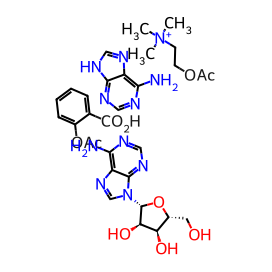 CC(=O)OCC[N+](C)(C)C.CC(=O)Oc1ccccc1C(=O)O.Nc1ncnc2[nH]cnc12.Nc1ncnc2c1ncn2[C@@H]1O[C@H](CO)[C@@H](O)[C@H]1O